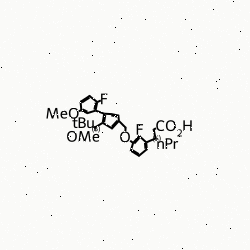 CCC[C@@H](CC(=O)O)c1cccc(OCc2ccc(-c3cc(OC)ccc3F)c([C@@H](OC)C(C)(C)C)c2)c1F